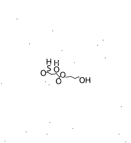 O=C(S)CC(O)C(=O)OCCCCO